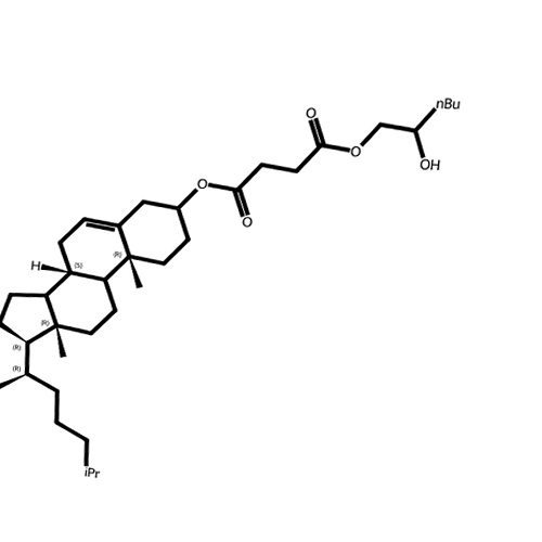 CCCCC(O)COC(=O)CCC(=O)OC1CC[C@@]2(C)C(=CC[C@@H]3C2CC[C@@]2(C)C3CC[C@@H]2[C@H](C)CCCC(C)C)C1